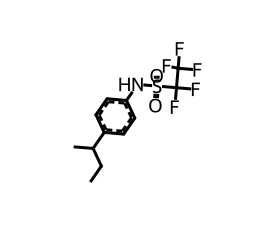 CCC(C)c1ccc(NS(=O)(=O)C(F)(F)C(F)(F)F)cc1